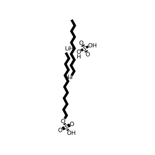 CCCCCCCCCCCCOS(=O)(=O)O.CCCCCCCCC[CH2][Na].O=S(=O)(O)O.[LiH]